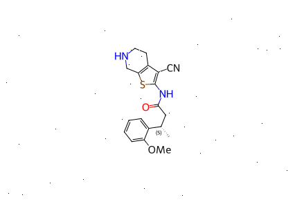 COc1ccccc1[C@@H](C)CC(=O)Nc1sc2c(c1C#N)CCNC2